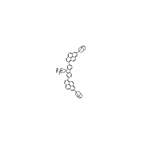 FC(F)(F)CC1(CC(F)(F)F)c2cc(-c3ccc4ccc5cc(C67CC8CC(CC(C8)C6)C7)cc6ccc3c4c56)ccc2-c2ccc(-c3ccc4ccc5cc(C67CC8CC(CC(C8)C6)C7)cc6ccc3c4c56)cc21